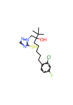 CC(C)(C)C(O)(CCCCCc1ccc(F)cc1Cl)Cn1ncnc1S